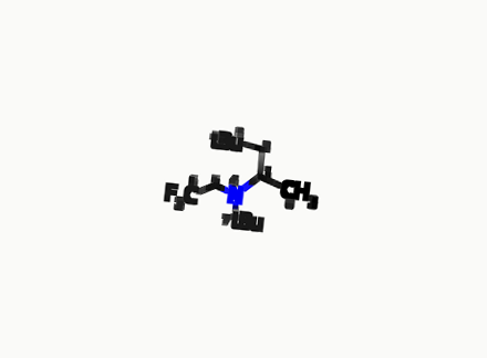 CC(CC(C)(C)C)N(CC(F)(F)F)C(C)(C)C